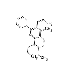 C/C=C\c1c(-c2ccccc2)nc2c(/C=C\C)c(CC)ccc2c1C